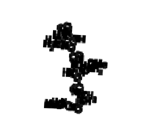 COCC1(N)CCN(c2cc(C3CC[C@H](N(C)C[C@@H]4Cc5c(cccc5N5CCC(N)(COC)CC5)CN4)c4ncccc43)cc3c2C[C@H](CN(C)[C@H]2CCC(c4cc5c(c(N6CCC(C)(N)CC6)c4)C[C@H](CN(C)[C@H]4CCCc6cccnc64)NC5)c4cccnc42)NC3)CC1